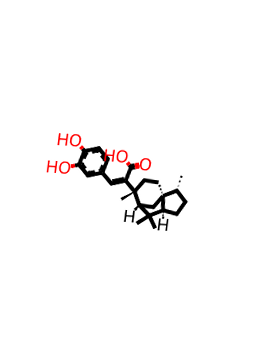 C[C@@H]1CC[C@H]2C(C)(C)[C@H]3C[C@@]12CC[C@@]3(C)/C(=C/c1ccc(O)c(O)c1)C(=O)O